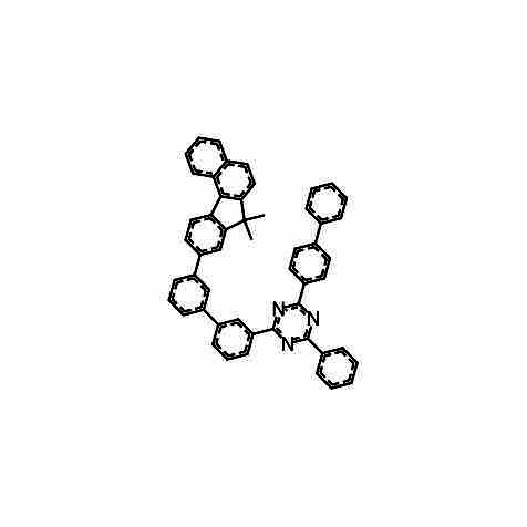 CC1(C)c2cc(-c3cccc(-c4cccc(-c5nc(-c6ccccc6)nc(-c6ccc(-c7ccccc7)cc6)n5)c4)c3)ccc2-c2c1ccc1ccccc21